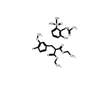 CC(=O)Nc1c(O)cccc1[As](=O)(O)O.CCOC(=O)C(Cc1ccc(F)c(OC)c1)C(=O)OCC